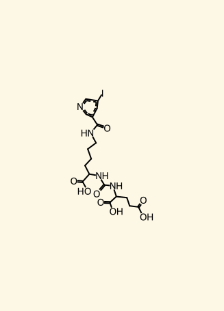 O=C(O)CCC(NC(=O)NC(CCCCNC(=O)c1cncc(I)c1)C(=O)O)C(=O)O